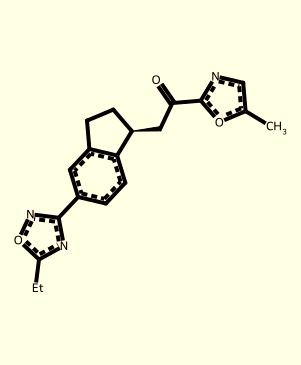 CCc1nc(-c2ccc3c(c2)CC[C@H]3CC(=O)c2ncc(C)o2)no1